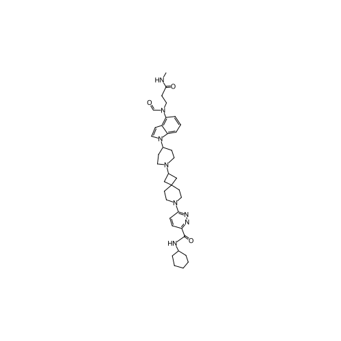 CNC(=O)CCN(C=O)c1cccc2c1ccn2C1CCN(C2CC3(CCN(c4ccc(C(=O)NC5CCCCC5)nn4)CC3)C2)CC1